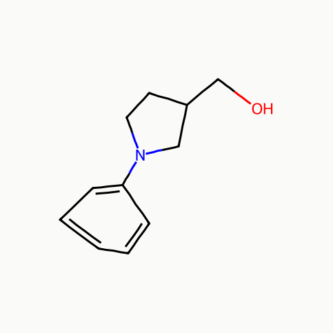 OCC1CCN(c2ccccc2)C1